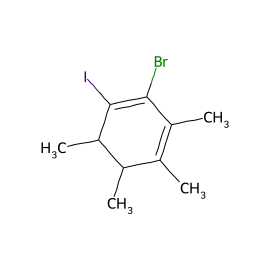 CC1=C(C)C(C)C(C)C(I)=C1Br